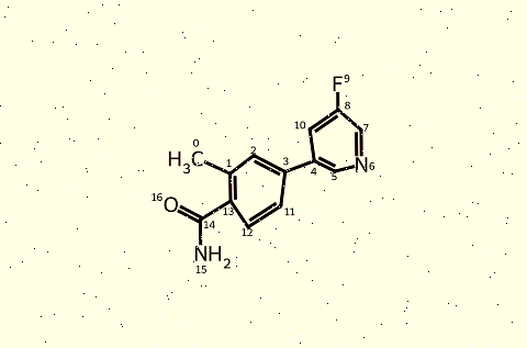 Cc1cc(-c2cncc(F)c2)ccc1C(N)=O